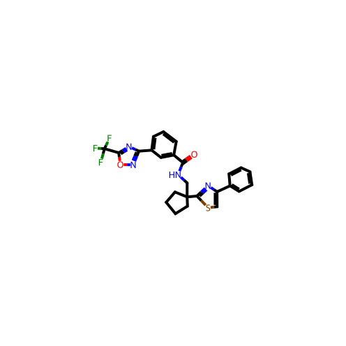 O=C(NCC1(c2nc(-c3ccccc3)cs2)CCCC1)c1cccc(-c2noc(C(F)(F)F)n2)c1